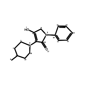 CC1CCN(C2=C(O)CN(c3ccccc3)C2=O)CC1